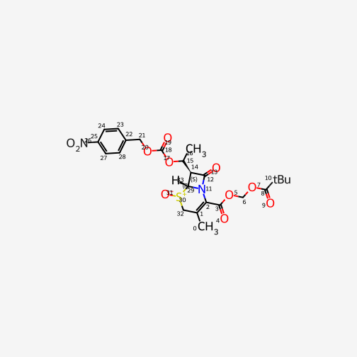 CC1=C(C(=O)OCOC(=O)C(C)(C)C)N2C(=O)[C@H](C(C)OC(=O)OCc3ccc([N+](=O)[O-])cc3)[C@H]2[S+]([O-])C1